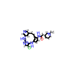 CC(=O)N1CCC[C@@H](CC(=O)Nc2ccc3cc2CCc2cncc(c2)Nc2ncc(Cl)c(n2)N3)C1